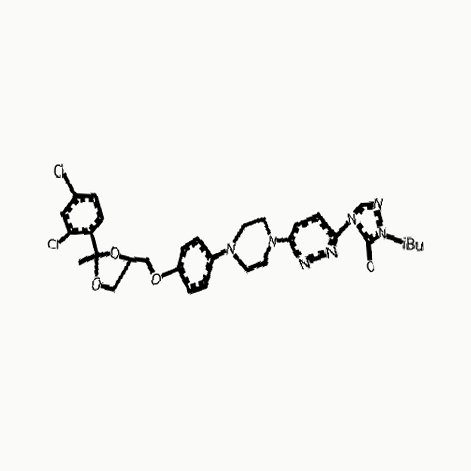 CCC(C)n1ncn(-c2ccc(N3CCN(c4ccc(OCC5COC(C)(c6ccc(Cl)cc6Cl)O5)cc4)CC3)nn2)c1=O